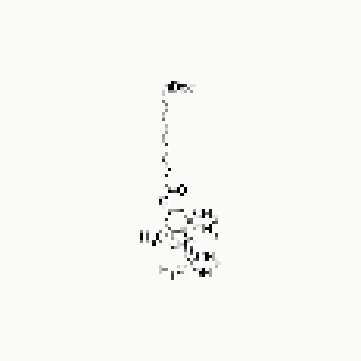 CCCCCCCCCCCCCCCCCCCC(=O)OC1CC(C)(C)N(OCC(C)(C)O)C(C)(C)C1